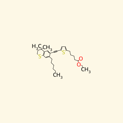 CCCCCCc1cc2c(cc1C#Cc1ccc(CCCCC(=O)OCC)s1)C(C)(C)CCS2